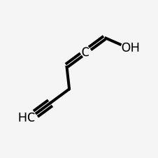 C#CCC=C=CO